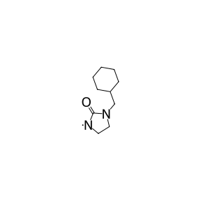 O=C1[N]CCN1CC1CCCCC1